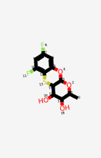 CC1OC2Oc3cc(F)cc(F)c3SC2C(O)C1O